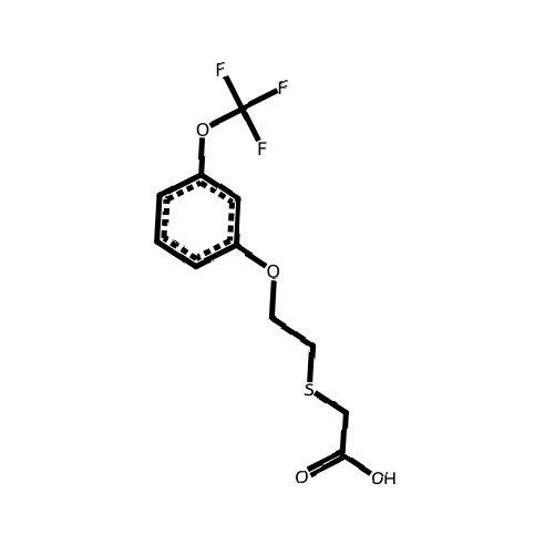 O=C(O)CSCCOc1cccc(OC(F)(F)F)c1